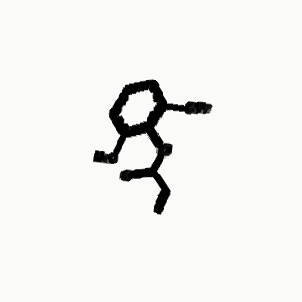 C=CC(=O)Oc1c(OC)cccc1OC